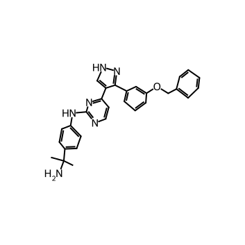 CC(C)(N)c1ccc(Nc2nccc(-c3c[nH]nc3-c3cccc(OCc4ccccc4)c3)n2)cc1